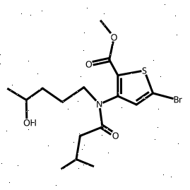 COC(=O)c1sc(Br)cc1N(CCCC(C)O)C(=O)CC(C)C